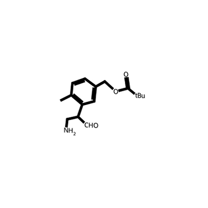 Cc1ccc(COC(=O)C(C)(C)C)cc1C(C=O)CN